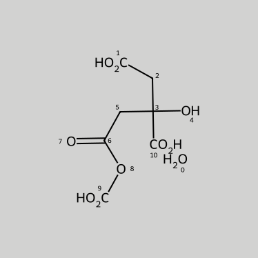 O.O=C(O)CC(O)(CC(=O)OC(=O)O)C(=O)O